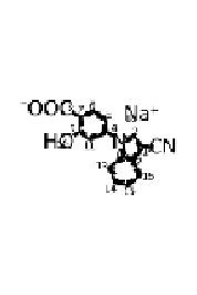 N#Cc1cn(-c2ccc(C(=O)[O-])c(O)c2)c2ccccc12.[Na+]